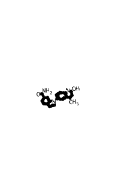 Cc1cc(O)nc2ccc(-n3ccc4ccc(C(N)=O)cc43)cc12